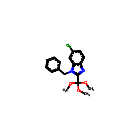 COC(OC)(OC)c1nc2ccc(Cl)cc2n1Cc1ccccc1